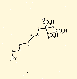 CC(C)CCCCCCCC(CC(=O)O)(C(=O)O)S(=O)(=O)O